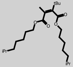 C/C(C(=O)OCCCCCC(C)C)=C(/C(=O)OCCCCCC(C)C)C(C)(C)C